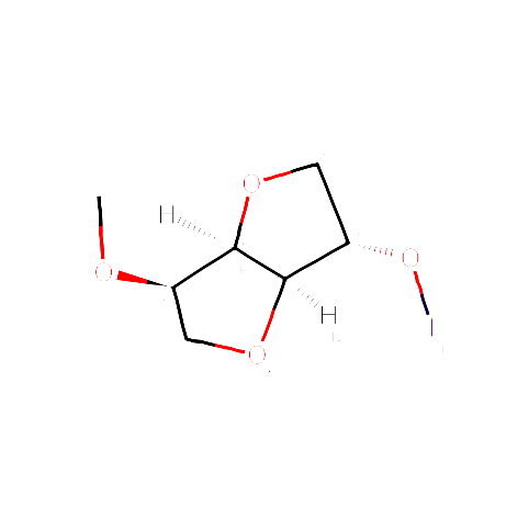 CO[C@@H]1CO[C@H]2[C@@H]1OC[C@@H]2OI